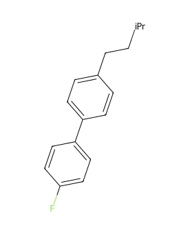 CC(C)CCc1ccc(-c2ccc(F)cc2)cc1